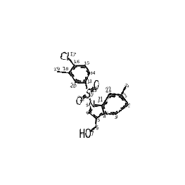 Cc1ccc2c(CO)cn(S(=O)(=O)c3ccc(Cl)c(C)c3)c2c1